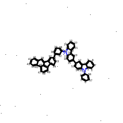 c1ccc(-n2c3ccccc3c3cc(-c4ccc5c(c4)c4ccccc4n5-c4cccc(-c5ccc6c(c5)-c5cc7ccccc7c7cccc-6c57)c4)ccc32)cc1